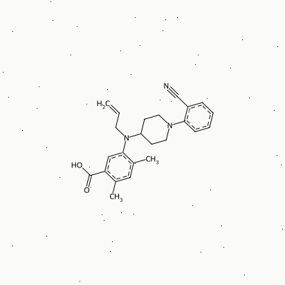 C=CCN(c1cc(C(=O)O)c(C)cc1C)C1CCN(c2ccccc2C#N)CC1